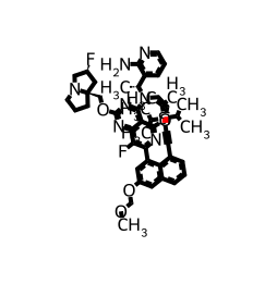 COCOc1cc(-c2nc3c4c(nc(OC[C@@]56CCCN5C[C@H](F)C6)nc4c2F)N([C@H](C)c2cccnc2N)CCO3)c2c(C#C[Si](C(C)C)(C(C)C)C(C)C)cccc2c1